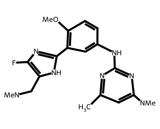 CNCc1[nH]c(-c2cc(Nc3nc(C)cc(NC)n3)ccc2OC)nc1F